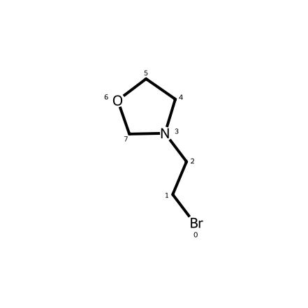 BrCCN1CCOC1